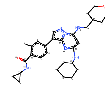 Cc1cc(-c2cnn3c(NCC4CCOCC4)cc(NC4CCCCC4)nc23)ccc1C(=O)NC1CC1